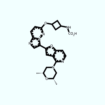 C[C@@H]1CN(c2nccc3oc(-c4cnc5ccc(OC6CC(NC(=O)O)C6)nn45)cc23)C[C@H](C)O1